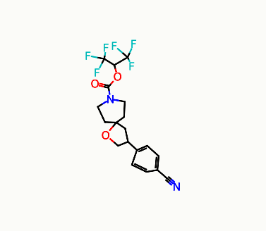 N#Cc1ccc(C2COC3(CCN(C(=O)OC(C(F)(F)F)C(F)(F)F)CC3)C2)cc1